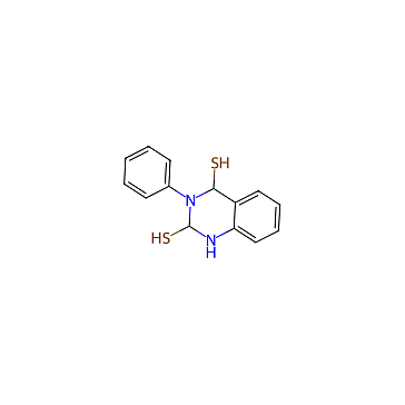 SC1Nc2ccccc2C(S)N1c1ccccc1